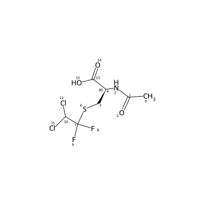 CC(=O)N[C@@H](CSC(F)(F)C(Cl)Cl)C(=O)O